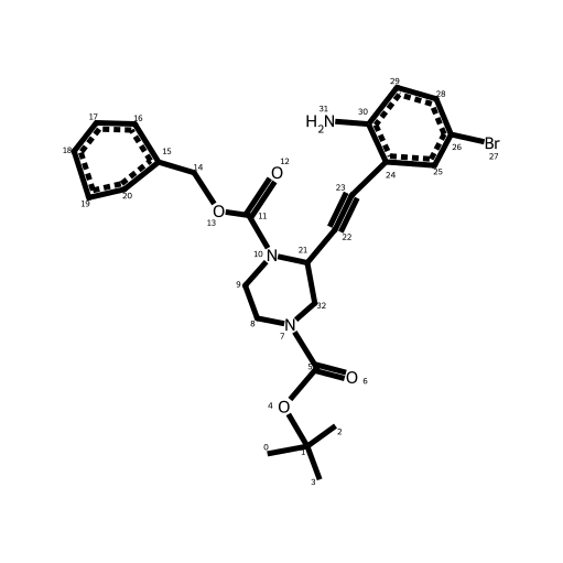 CC(C)(C)OC(=O)N1CCN(C(=O)OCc2ccccc2)C(C#Cc2cc(Br)ccc2N)C1